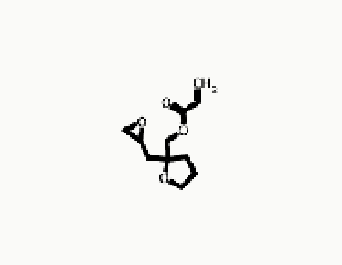 C=CC(=O)OCC1(CC2CO2)CCCO1